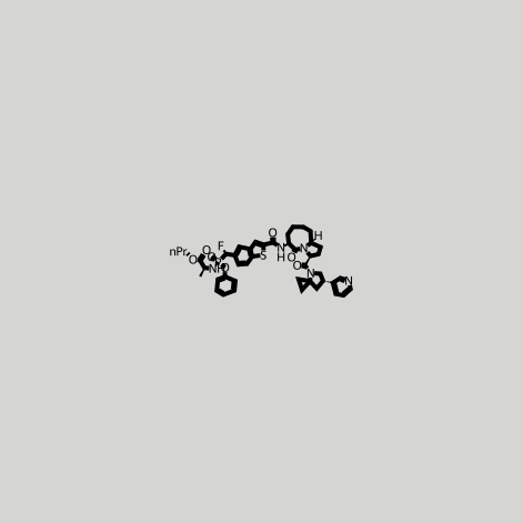 CCCOC(=O)[C@H](C)NP(=O)(Oc1ccccc1)[C@@H](F)c1ccc2sc(C(=O)N[C@H]3CCCC[C@H]4CC[C@@H](C(=O)N5C[C@H](c6cccnc6)CC56CC6)N4C3=O)cc2c1